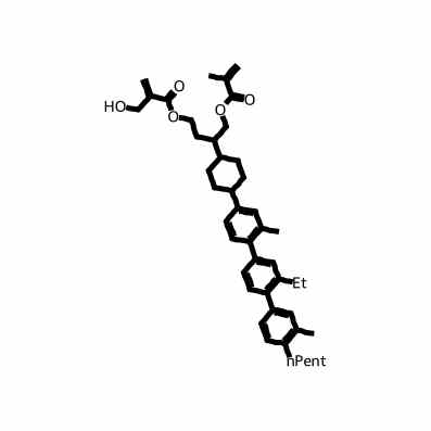 C=C(C)C(=O)OCC(CCOC(=O)C(=C)CO)C1CCC(c2ccc(-c3ccc(-c4ccc(CCCCC)c(C)c4)c(CC)c3)c(C)c2)CC1